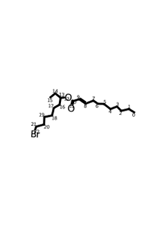 CCCCCCCC/C=C/C(=O)OC(CC)CCCCCCBr